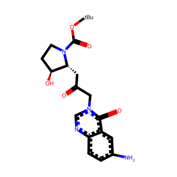 CC(C)(C)OC(=O)N1CC[C@H](O)[C@H]1CC(=O)Cn1cnc2ccc(N)cc2c1=O